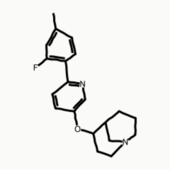 Cc1ccc(-c2ccc(OC3CCN4CCCC3C4)cn2)c(F)c1